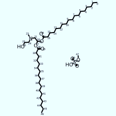 CCCCCCCCCCCCCCCCCC(=O)OC(CN(C)CCO)OC(=O)CCCCCCCCCCCCCCCCC.COS(=O)(=O)O